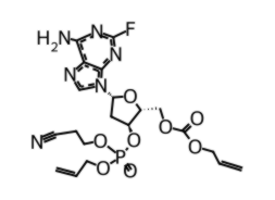 C=CCOC(=O)OC[C@H]1O[C@@H](n2cnc3c(N)nc(F)nc32)C[C@@H]1OP(=O)(OCC=C)OCCC#N